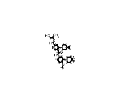 C[C@H](CO)SNc1cc(N2CCC3(CC2)CC3)c(C(=O)Nc2ccc(OCF)c(N3CCC(F)(F)CC3)c2)cn1